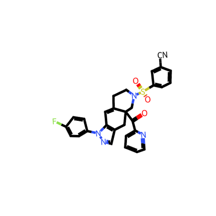 N#Cc1cccc(S(=O)(=O)N2CCC3=Cc4c(cnn4-c4ccc(F)cc4)CC3(C(=O)c3ccccn3)C2)c1